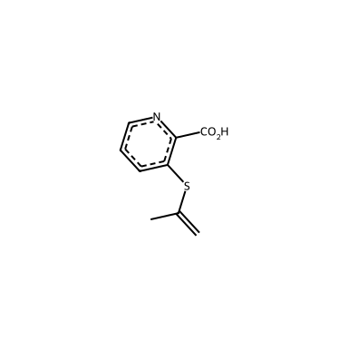 C=C(C)Sc1cccnc1C(=O)O